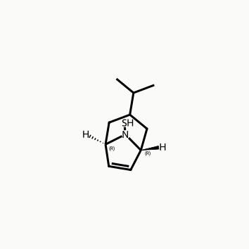 CC(C)C1C[C@@H]2C=C[C@@H](C1)N2S